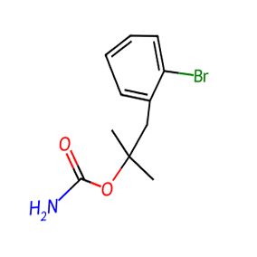 CC(C)(Cc1ccccc1Br)OC(N)=O